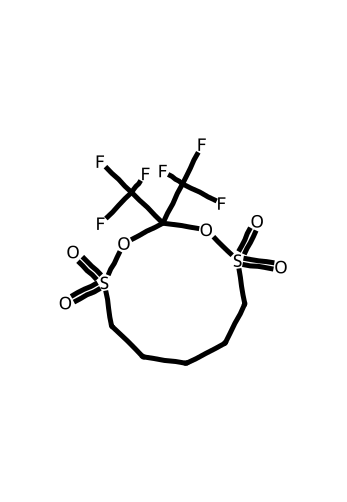 O=S1(=O)CCCCCS(=O)(=O)OC(C(F)(F)F)(C(F)(F)F)O1